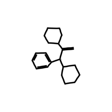 C=C([C](c1ccccc1)C1CCCCC1)C1CCCCC1